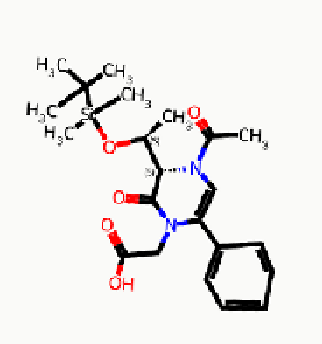 CC(=O)N1C=C(c2ccccc2)N(CC(=O)O)C(=O)[C@@H]1[C@H](C)O[Si](C)(C)C(C)(C)C